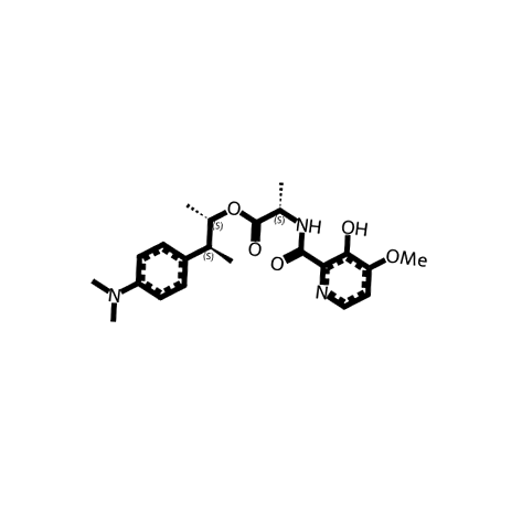 COc1ccnc(C(=O)N[C@@H](C)C(=O)O[C@@H](C)[C@@H](C)c2ccc(N(C)C)cc2)c1O